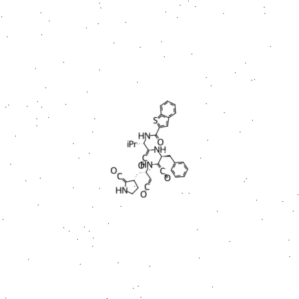 CC(C)[C@H](NC(=O)c1cc2ccccc2s1)C(=C=O)N[C@@H](Cc1ccccc1)C(=C=O)N[C@H](C=C=O)C[C@@H]1CCNC1=C=O